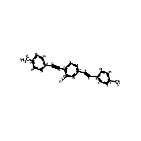 CCc1ccc(C#Cc2ccc(C#Cc3ccc(C)cc3)c(F)c2)cc1